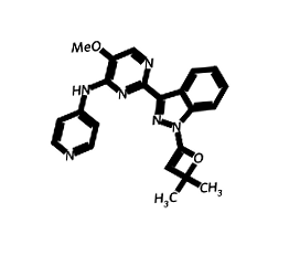 COc1cnc(-c2nn(C3=CC(C)(C)O3)c3ccccc23)nc1Nc1ccncc1